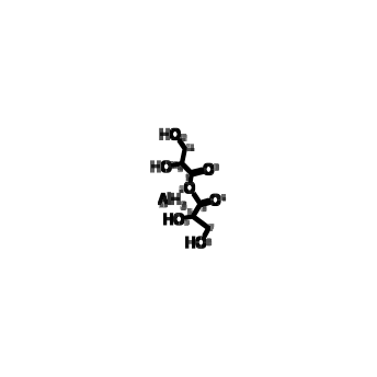 O=C(OC(=O)C(O)CO)C(O)CO.[AlH3]